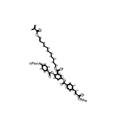 C=C(C)C(=O)OCCCCCCCCCCCOC(=O)c1cc(OC(=O)c2ccc(C=CC(=O)OC)cc2)ccc1OC(=O)c1ccc(CCCCC)cc1